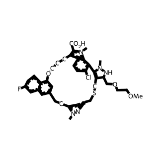 COCCOCC1NN(C)C2=C1CSCc1cc(n(C)n1)CCc1cc(c3ccc(F)cc3c1)OCCCc1c(C(=O)O)n(C)c3c2c(Cl)ccc13